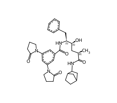 C[C@H](C[C@H](O)[C@H](Cc1ccccc1)NC(=O)c1cc(N2CCCC2=O)cc(N2CCCC2=O)c1)C(=O)NC1CC2CCC1C2